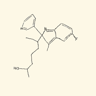 CC1=c2cc(F)ccc2=NC1(c1cccnc1)C(C)CCCC(C)O